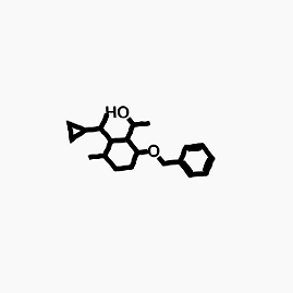 CC(O)C1C(OCc2ccccc2)CCC(C)C1C(C)C1CC1